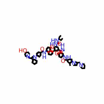 CCC(CC)NC(=O)Nc1cc(C(=O)NC)c(Oc2ccc(NC(=O)c3ccc(-n4ccc(CN5CCCCC5)c4)c(C)c3)cc2)c(-c2ccccc2)c1Oc1ccc(NC(=O)c2ccc(-n3cc(CN4CCC(O)CC4)c4ccccc43)cc2)cc1C